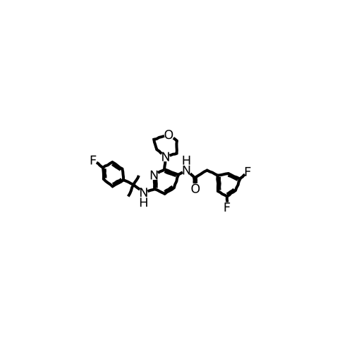 CC(C)(Nc1ccc(NC(=O)Cc2cc(F)cc(F)c2)c(N2CCOCC2)n1)c1ccc(F)cc1